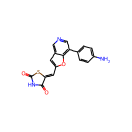 Nc1ccc(-c2cncc3cc(/C=C4\SC(=O)NC4=O)oc23)cc1